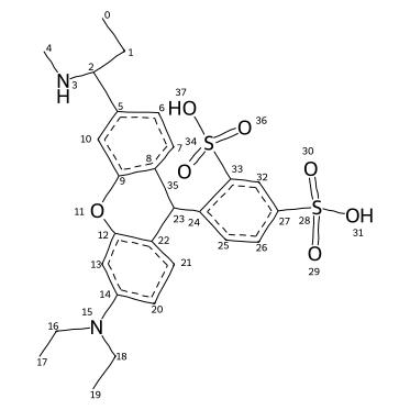 CCC(NC)c1ccc2c(c1)Oc1cc(N(CC)CC)ccc1C2c1ccc(S(=O)(=O)O)cc1S(=O)(=O)O